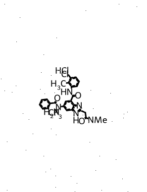 CNC(=O)Cc1nc2c(C(=O)Nc3cccc(Cl)c3C)cc(N(N)C(=O)c3ccccc3C(F)(F)F)cc2[nH]1.Cl